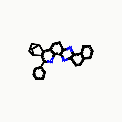 c1ccc(-c2nc3c(ccc4nc5c(ccc6ccccc65)nc43)c3c2C2CCC3C2)cc1